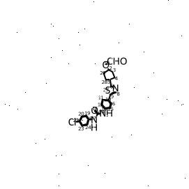 O=COC1CCC(c2ncc(-c3ccc(NC(=O)Nc4ccc(Cl)cc4)cc3)s2)CC1